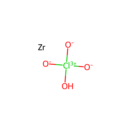 [O-][Cl+3]([O-])([O-])O.[Zr]